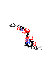 CCCCCCCCC1CC(C)(C)N(OC(=O)CCC(=O)ON2C(C)(C)CC(CCCCCCCC)C(=O)C2(C)C)C(C)(C)C1=O